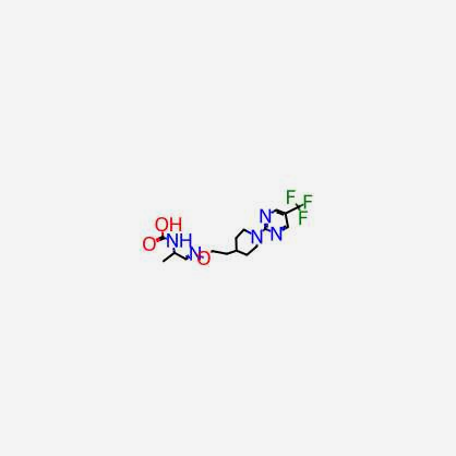 CC(C=NOCCC1CCN(c2ncc(C(F)(F)F)cn2)CC1)NC(=O)O